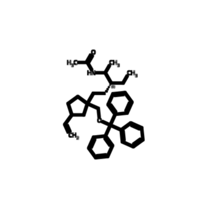 C=CC1CCC(CC[C@@H](CC)C(C)NC(C)=O)(COC(c2ccccc2)(c2ccccc2)c2ccccc2)C1